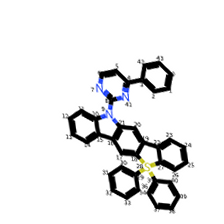 c1ccc(-c2ccnc(-n3c4ccccc4c4cc5c(cc43)-c3ccccc3S5(c3ccccc3)c3ccccc3)n2)cc1